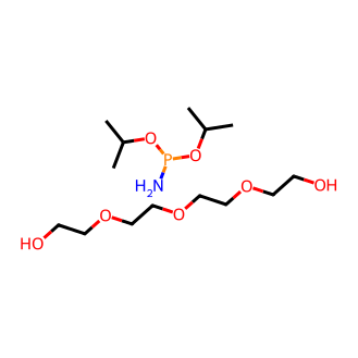 CC(C)OP(N)OC(C)C.OCCOCCOCCOCCO